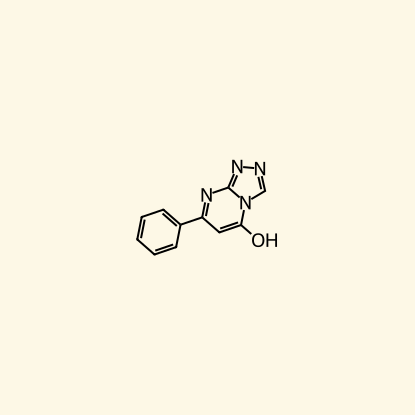 Oc1cc(-c2ccccc2)nc2nncn12